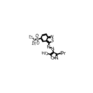 CCN(CC)S(=O)(=O)c1ccc2nsc(N=Nc3c(C(C)C)noc3O)c2c1